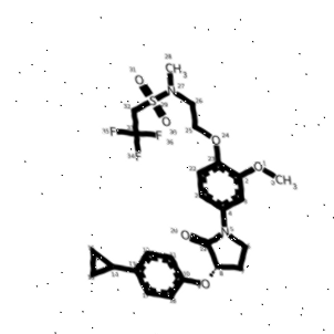 COc1cc(N2CC[C@H](Oc3ccc(C4CC4)cc3)C2=O)ccc1OCCN(C)S(=O)(=O)CC(F)(F)F